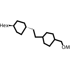 CCCCCC[C@H]1CC[C@H](CCC2CCC(COC)CC2)CC1